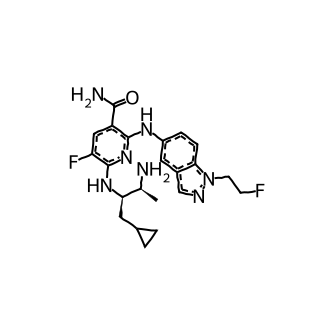 C[C@H](N)[C@@H](CC1CC1)Nc1nc(Nc2ccc3c(cnn3CCF)c2)c(C(N)=O)cc1F